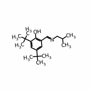 CC(C)C/N=C/c1cc(C(C)(C)C)cc(C(C)(C)C)c1O